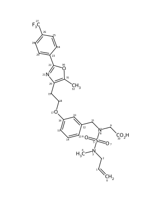 C=CCN(C)S(=O)(=O)N(CC(=O)O)Cc1cccc(OCCc2nc(-c3ccc(C(F)(F)F)cc3)oc2C)c1